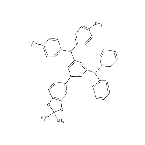 Cc1ccc(N(c2ccc(C)cc2)c2cc(-c3ccc4c(c3)OC(C)(C)O4)cc(N(c3ccccc3)c3ccccc3)c2)cc1